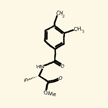 COC(=O)[C@@H](NC(=O)c1ccc(C)c(C)c1)C(C)C